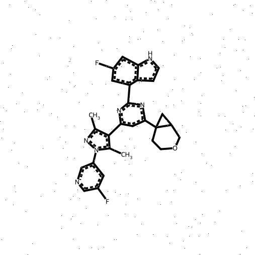 Cc1nn(-c2cncc(F)c2)c(C)c1-c1cc(C23CCOCC2C3)nc(-c2cc(F)cc3[nH]ccc23)n1